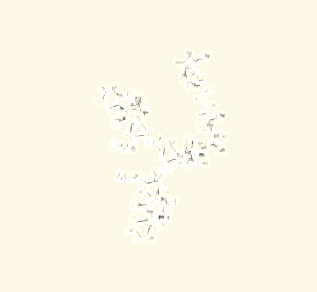 COc1cc2c(cc1OCc1cc(COc3cc4c(cc3OC)C(=O)N3c5ccccc5C[C@H]3CN4)cc(NC(=O)[C@H](C)NC(=O)[C@H](C)NC(=O)CCCCC(=O)OC3C(=O)C=CC3=O)c1)N=C[C@@H]1Cc3ccccc3N1C2=O